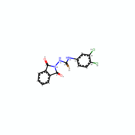 O=C1c2ccccc2C(=O)N1NC(=S)Nc1ccc(Cl)c(Cl)c1